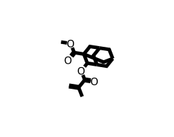 C=C(C)C(=O)OC1C2CC3CC(C2)CC1(C(=O)OC)C3